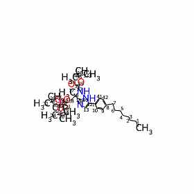 CCCCCCCCc1ccc(-c2cnc(C(C)(COP(=S)(OC(C)(C)C)OC(C)(C)C)NC(=O)OC(C)(C)C)[nH]2)cc1